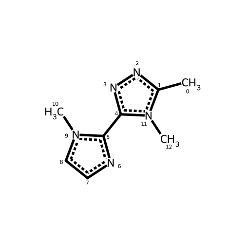 Cc1nnc(-c2nccn2C)n1C